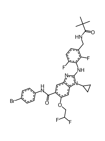 CC(C)(C)C(=O)NCc1ccc(F)c(Nc2nc3cc(C(=O)Nc4ccc(Br)cc4)c(OCC(F)F)cc3n2C2CC2)c1F